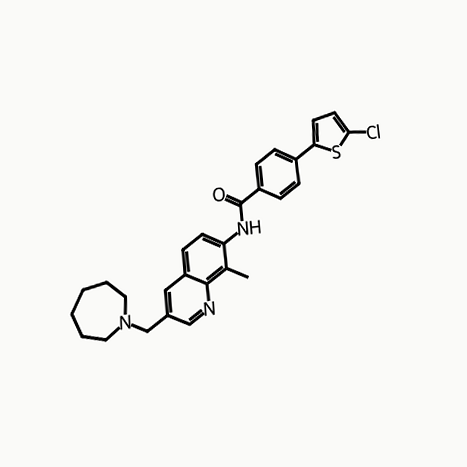 Cc1c(NC(=O)c2ccc(-c3ccc(Cl)s3)cc2)ccc2cc(CN3CCCCCC3)cnc12